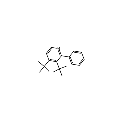 CC(C)(C)c1ccnc(-c2ccccc2)c1C(C)(C)C